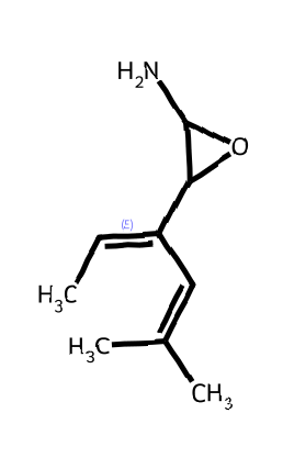 C/C=C(\C=C(C)C)C1OC1N